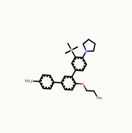 CCOC(=O)c1ccc(-c2ccc(OCCOC(C)=O)c(-c3ccc(N4CCCC4)c([Si](C)(C)C)c3)c2)cc1